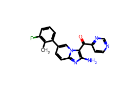 Cc1c(F)cccc1-c1ccc2nc(N)c(C(=O)c3ccncn3)n2c1